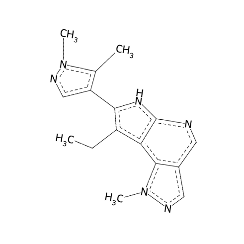 CCc1c(-c2cnn(C)c2C)[nH]c2ncc3cnn(C)c3c12